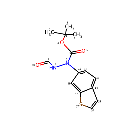 CC(C)(C)OC(=O)N(NC=O)c1ccc2ccsc2c1